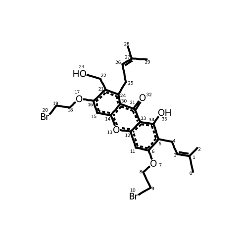 CC(C)=CCc1c(OCCBr)cc2oc3cc(OCCBr)c(CO)c(CC=C(C)C)c3c(=O)c2c1O